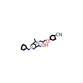 CC1C2CC(CN(Cc3ccccc3)C2)C(C)N1C[C@H](O)COc1ccc(C#N)cc1